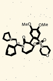 COc1cc(C2CC=CCN([C@H](CN3CCCC3)c3ccccc3)C2=O)c(S(=O)(=O)N2CCOCC2)cc1OC